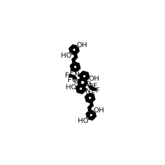 O=C1c2c(O)ccc(N(C(=O)C(F)(F)F)c3ccc(CCc4cc(O)ccc4O)cc3)c2C(=O)c2c(O)ccc(N(C(=O)C(F)(F)F)c3ccc(CCc4cc(O)ccc4O)cc3)c21